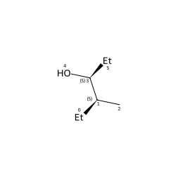 CC[C@H](C)[C@@H](O)CC